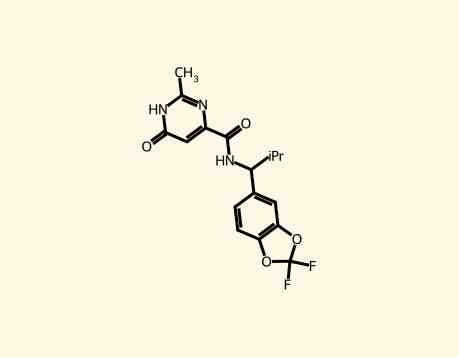 Cc1nc(C(=O)NC(c2ccc3c(c2)OC(F)(F)O3)C(C)C)cc(=O)[nH]1